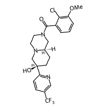 COc1cccc(C(=O)N2CCN3C[C@@](O)(c4ccc(C(F)(F)F)cn4)CC[C@@H]3C2)c1Cl